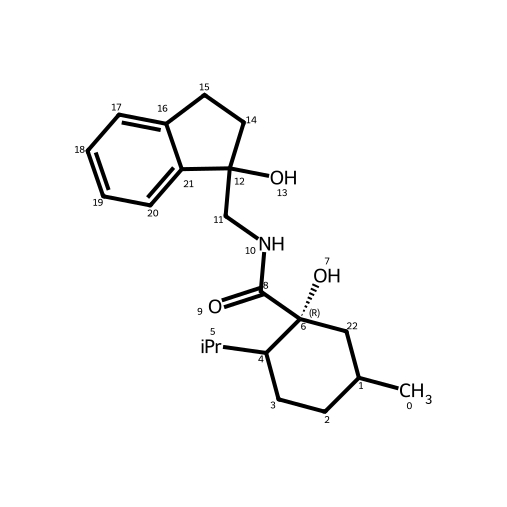 CC1CCC(C(C)C)[C@@](O)(C(=O)NCC2(O)CCc3ccccc32)C1